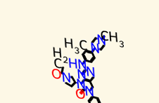 C=CC(=O)N1CC[C@H](N2C(=O)N(c3ccccc3)Cc3cnc(Nc4ccc(N5CCN(C)CC5)c(C)c4)nc32)C1